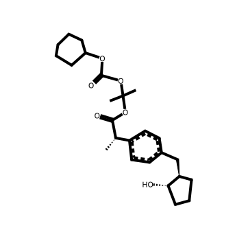 C[C@H](C(=O)OC(C)(C)OC(=O)OC1CCCCC1)c1ccc(C[C@H]2CCC[C@@H]2O)cc1